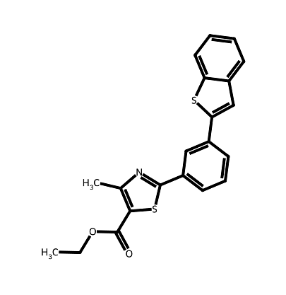 CCOC(=O)c1sc(-c2cccc(-c3cc4ccccc4s3)c2)nc1C